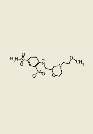 COCCN1CCOC(CNc2ccc(S(N)(=O)=O)cc2[N+](=O)[O-])C1